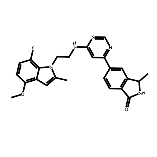 COc1ccc(F)c2c1cc(C)n2CCNc1cc(-c2ccc3c(c2)C(C)NC3=O)ncn1